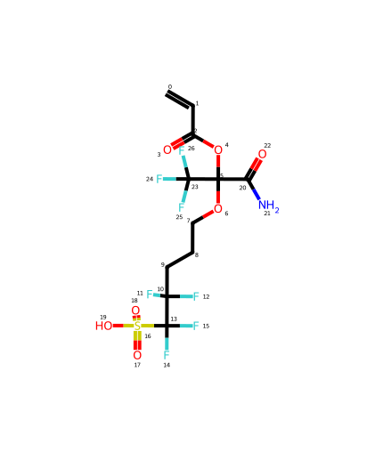 C=CC(=O)OC(OCCCC(F)(F)C(F)(F)S(=O)(=O)O)(C(N)=O)C(F)(F)F